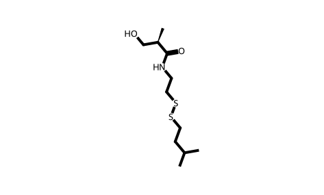 CC(C)CCSSCCNC(=O)[C@H](C)CO